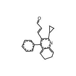 O=C/C=C/c1c(C2CC2)nc2c(c1-c1ccccc1)=CCCC=2